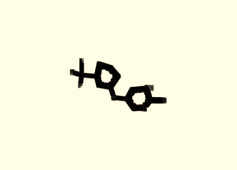 O=c1ncc(Oc2cccc(C(F)(F)F)c2)c[nH]1